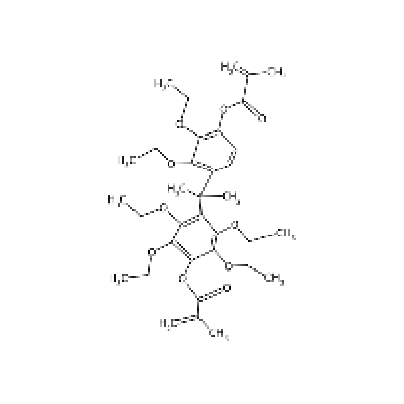 C=C(C)C(=O)Oc1ccc(C(C)(C)c2c(OCC)c(OCC)c(OC(=O)C(=C)C)c(OCC)c2OCC)c(OCC)c1OCC